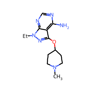 CCn1nc(OC2CCN(C)CC2)c2c(N)ncnc21